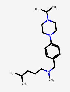 CC(C)CCCN(C)Cc1ccc(N2CCN(C(C)C)CC2)cc1